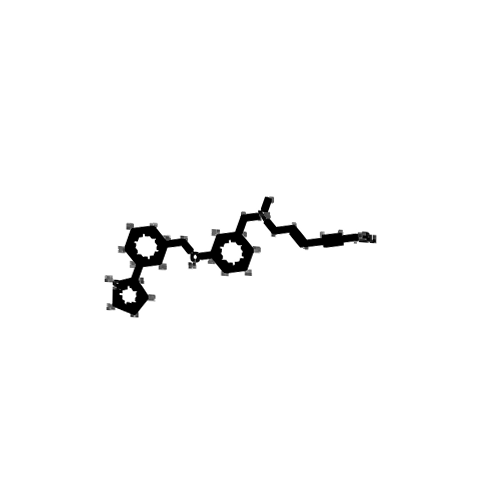 CN(CC=CC#CC(C)(C)C)Cc1cccc(OCc2cccc(-c3cccs3)c2)c1